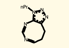 CCCn1nnc2c1/N=C\N=C/CC2